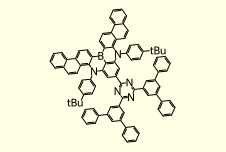 CC(C)(C)c1ccc(N2c3cc(-c4nc(-c5cc(-c6ccccc6)cc(-c6ccccc6)c5)nc(-c5cc(-c6ccccc6)cc(-c6ccccc6)c5)n4)cc4c3B(c3ccc5c(ccc6ccccc65)c32)c2ccc3c(ccc5ccccc53)c2N4c2ccc(C(C)(C)C)cc2)cc1